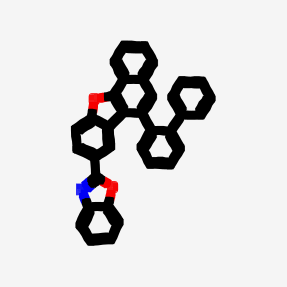 c1ccc(-c2ccccc2-c2cc3ccccc3c3oc4ccc(-c5nc6ccccc6o5)cc4c23)cc1